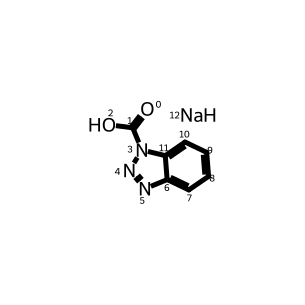 O=C(O)n1nnc2ccccc21.[NaH]